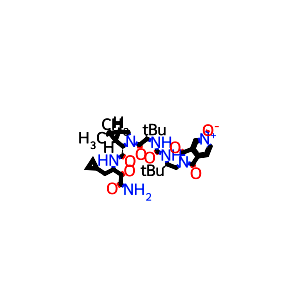 CC(C)(C)[C@H](NC(=O)N[C@H](CN1C(=O)c2cc[n+]([O-])cc2C1=O)C(C)(C)C)C(=O)N1C[C@H]2[C@@H]([C@H]1C(=O)NC(CC1CC1)C(=O)C(N)=O)C2(C)C